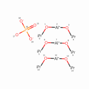 CC(C)[O][Al+][O]C(C)C.CC(C)[O][Al+][O]C(C)C.CC(C)[O][Al+][O]C(C)C.O=P([O-])([O-])[O-]